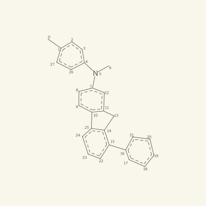 Cc1ccc(N(C)c2ccc3c(c2)Cc2c(-c4ccccc4)cccc2-3)cc1